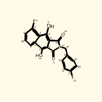 O=C1c2c(c(O)c3c(F)cccc3c2O)C(=O)N1Cc1ccc(F)cc1